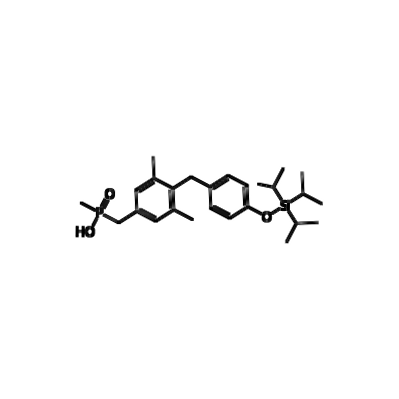 Cc1cc(CP(C)(=O)O)cc(C)c1Cc1ccc(O[Si](C(C)C)(C(C)C)C(C)C)cc1